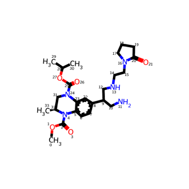 COC(=O)N1c2ccc(C(CN)CNCCN3CCCC3=O)cc2N(C(=O)OC(C)C)C[C@@H]1C